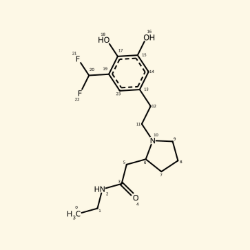 CCNC(=O)CC1CCCN1CCc1cc(O)c(O)c(C(F)F)c1